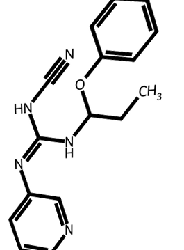 CCC(NC(=Nc1cccnc1)NC#N)Oc1ccccc1